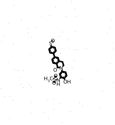 CS(=O)(=O)Nc1cc(N2CCc3cc(-c4ccc([S+]=O)cc4)ccc3C2=O)ccc1O